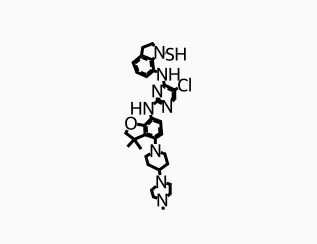 CN1CCN(C2CCN(c3ccc(Nc4ncc(Cl)c(Nc5cccc6c5N(S)CC6)n4)c4c3C(C)(C)CO4)CC2)CC1